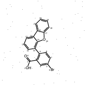 O=C(O)c1cc(Br)ccc1-c1cccc2c1oc1ccccc12